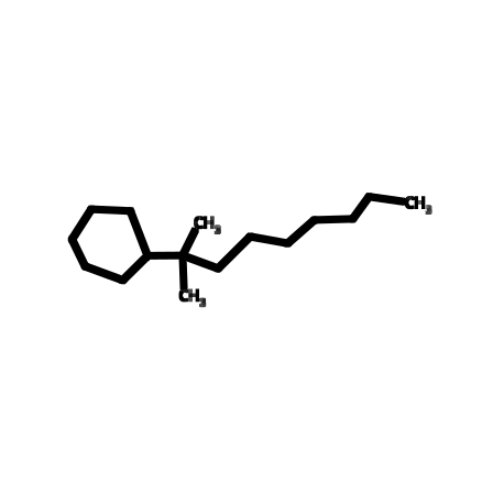 CCCCCCCC(C)(C)[C]1CCCCC1